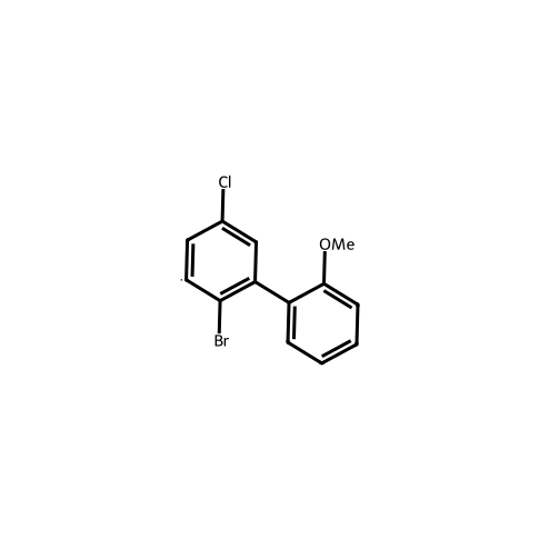 COc1ccccc1-c1cc(Cl)c[c]c1Br